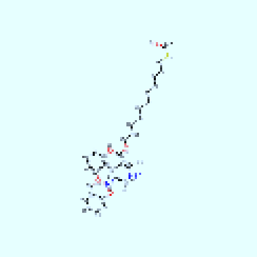 CC(=O)SCCCCCCCCCCCOC(=O)C1=C(C)NC(C)=C([N+](=O)[O-])C1c1ccccc1OCc1ccccc1